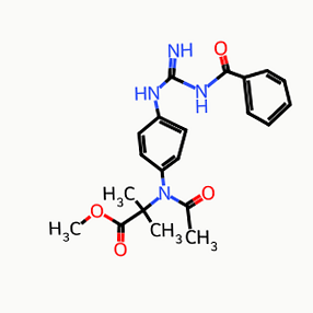 COC(=O)C(C)(C)N(C(C)=O)c1ccc(NC(=N)NC(=O)c2ccccc2)cc1